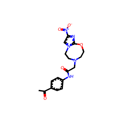 CC(=O)c1ccc(NC(=O)CN2CCOc3nc([N+](=O)[O-])cn3CC2)cc1